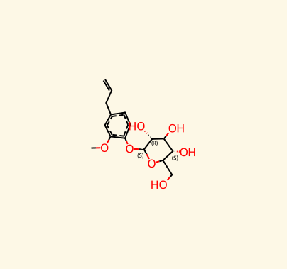 C=CCc1ccc(O[C@@H]2OC(CO)[C@@H](O)C(O)[C@H]2O)c(OC)c1